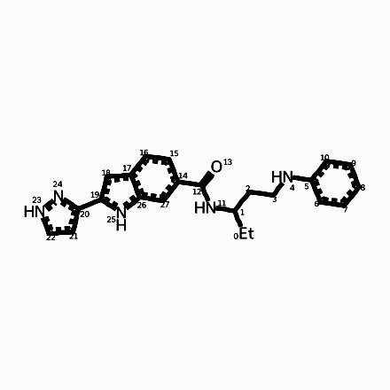 CCC(CCNc1ccccc1)NC(=O)c1ccc2cc(-c3cc[nH]n3)[nH]c2c1